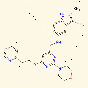 Cc1[nH]c2ccc(NCc3cc(OCCc4ccccn4)nc(N4CCOCC4)n3)cc2c1C